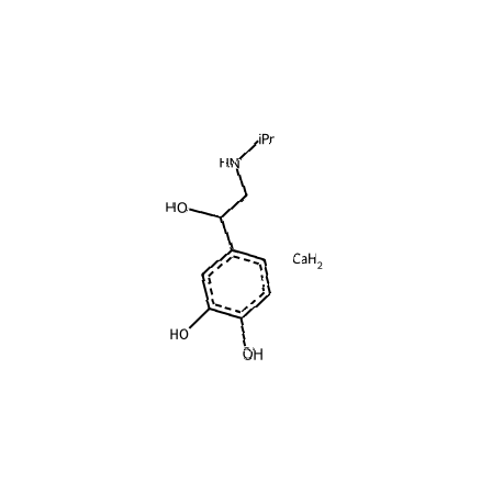 CC(C)NCC(O)c1ccc(O)c(O)c1.[CaH2]